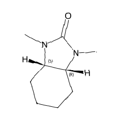 CN1C(=O)N(C)[C@H]2CCCC[C@H]21